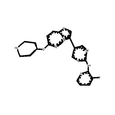 Fc1cccnc1Nc1ncc(-c2cnc3ccc(OC4CCNCC4)nn23)cn1